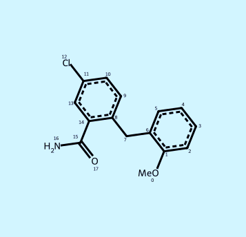 COc1ccccc1Cc1ccc(Cl)cc1C(N)=O